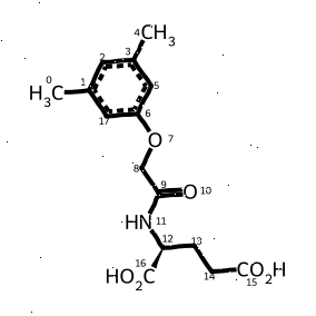 Cc1cc(C)cc(OCC(=O)N[C@@H](CCC(=O)O)C(=O)O)c1